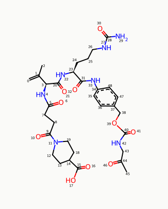 C=C(C)[C@H](NC(=O)CCC(=O)N1CCC(C(=O)O)CC1)C(=O)N[C@@H](CCCNC(N)=O)C(=O)Nc1ccc(COC(=O)NCC(C)=O)cc1